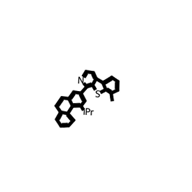 Cc1cccc2c1sc1c(-c3cc(C(C)C)c4c(ccc5ccccc54)c3)nccc12